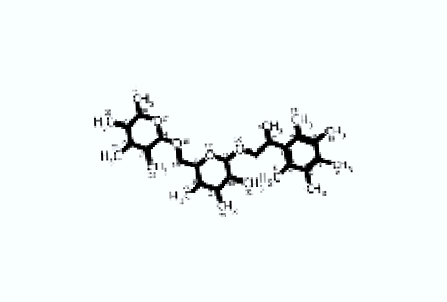 Cc1c(C)c(C)c(C(C)COC2OC(COC3OC(C)C(C)C(C)C3C)C(C)C(C)C2C)c(C)c1C